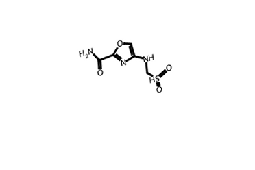 NC(=O)c1nc(NC[SH](=O)=O)co1